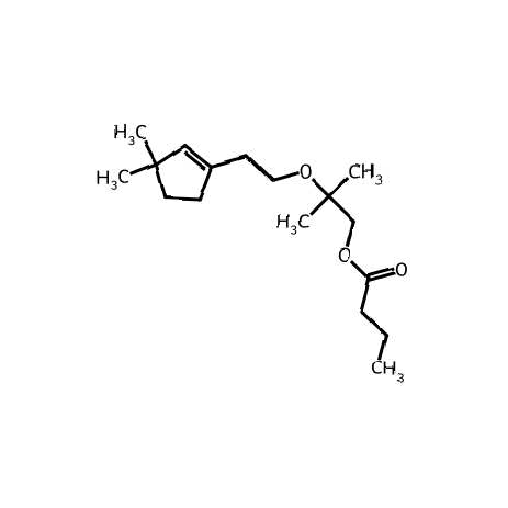 CCCC(=O)OCC(C)(C)OCCC1=CC(C)(C)CC1